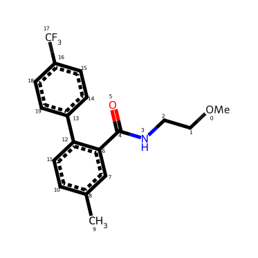 COCCNC(=O)c1cc(C)ccc1-c1ccc(C(F)(F)F)cc1